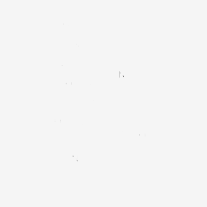 O=C(O)c1cccnc1C(=O)OC(=O)c1ncccc1C(=O)O